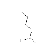 CCCNC(C)O